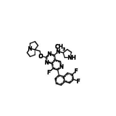 CN(c1nc(OCC23CCCN2CCC3)nc2c(F)c(-c3cccc4cc(F)c(F)cc34)ncc12)C1CCNC1